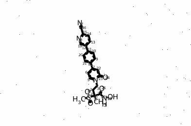 C[C@@](CCn1ccc(-c2ccc(-c3ccc(C#N)nc3)cc2)cc1=O)(C(=O)NO)S(C)(=O)=O